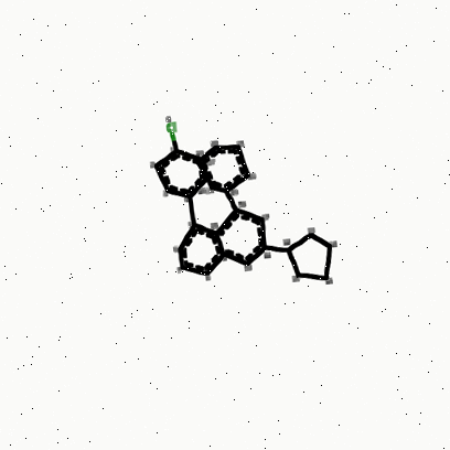 Clc1ccc(-c2cccc3cc(C4CCCC4)cc(-c4ccccc4)c23)cc1